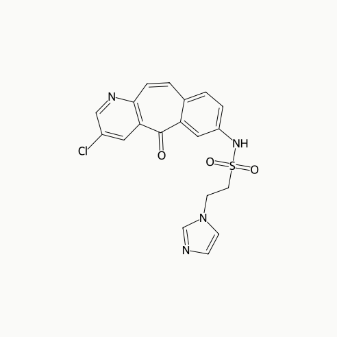 O=c1c2cc(NS(=O)(=O)CCn3ccnc3)ccc2ccc2ncc(Cl)cc12